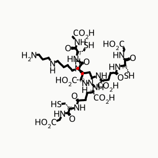 NCCCNCCCCNCCC(N[C@@H](CCC(=O)N[C@@H](CS)C(=O)NCC(=O)O)C(=O)O)N(N[C@@H](CCC(=O)N[C@@H](CS)C(=O)NCC(=O)O)C(=O)O)N[C@@H](CCC(=O)N[C@@H](CS)C(=O)NCC(=O)O)C(=O)O